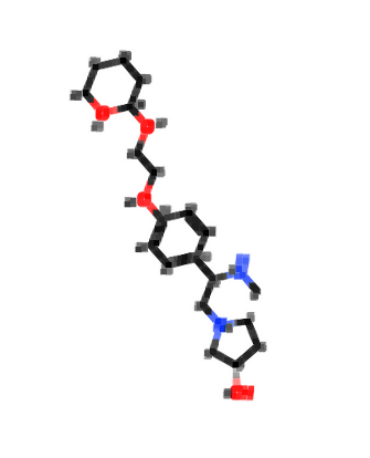 CNC(CN1CC[C@H](O)C1)c1ccc(OCCOC2CCCCO2)cc1